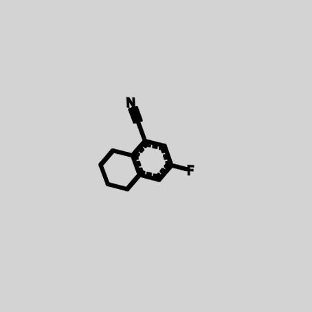 N#Cc1cc(F)cc2c1CCCC2